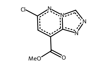 COC(=O)c1cc(Cl)nn2cnnc12